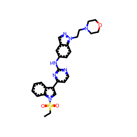 CCS(=O)(=O)n1cc(-c2ccnc(Nc3ccc4c(cnn4CCN4CCOCC4)c3)n2)c2ccccc21